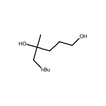 CCCCCC(C)(O)CCCO